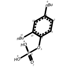 CCCCc1ccc(OP(=O)(O)O)c(CCCC)c1